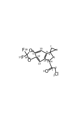 O=C(CCl)N1CC2(CC2)c2cc3c(cc21)OC(F)(F)O3